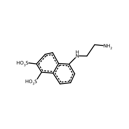 NCCNc1cccc2c(S(=O)(=O)O)c(S(=O)(=O)O)ccc12